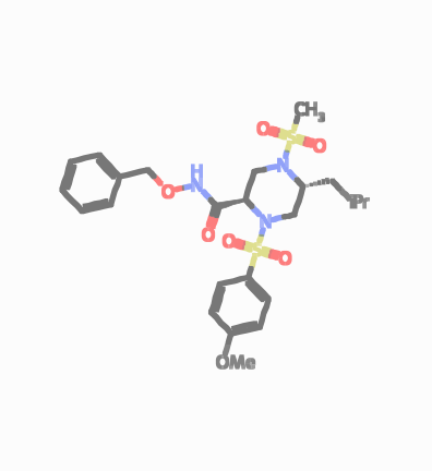 COc1ccc(S(=O)(=O)N2C[C@@H](CC(C)C)N(S(C)(=O)=O)C[C@@H]2C(=O)NOCc2ccccc2)cc1